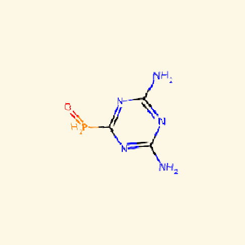 Nc1nc(N)nc([PH2]=O)n1